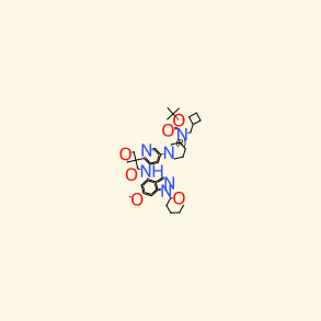 COc1cc(NC(=O)C2(c3ccc(N4CCC[C@@H](N(CC5CCC5)C(=O)OC(C)(C)C)C4)cn3)COC2)c2cnn(C3CCCCO3)c2c1